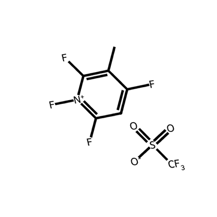 Cc1c(F)cc(F)[n+](F)c1F.O=S(=O)([O-])C(F)(F)F